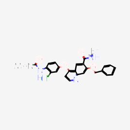 CCNC(=O)c1cc2c(Oc3ccc(NC(=O)NC)c(Cl)c3)ccnc2cc1OCc1ccccc1